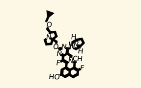 C#Cc1c(F)ccc2cc(O)cc(-c3ncc4c(N5C[C@H]6CC[C@@H](C5)N6)nc(OCC56CCCN5C(COCC5CC5)CC6)nc4c3F)c12